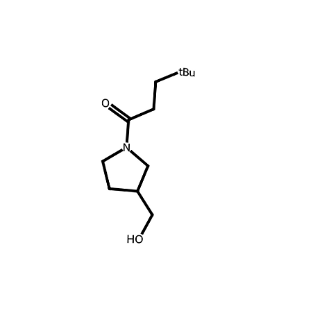 CC(C)(C)CCC(=O)N1CCC(CO)C1